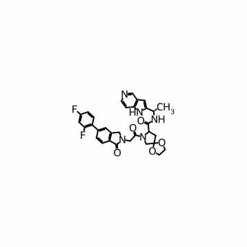 C[C@@H](NC(=O)C1CC2(CN1C(=O)CN1Cc3cc(-c4ccc(F)cc4F)ccc3C1=O)OCCO2)c1cc2cnccc2[nH]1